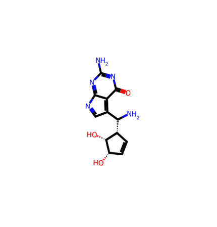 NC1=NC(=O)C2=C(C(N)[C@@H]3C=C[C@H](O)[C@@H]3O)C=NC2=N1